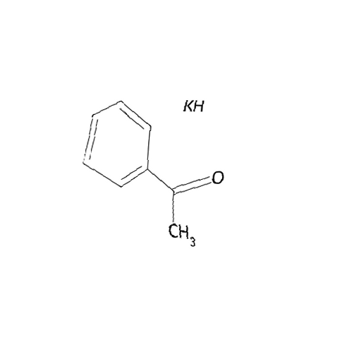 CC(=O)c1ccccc1.[KH]